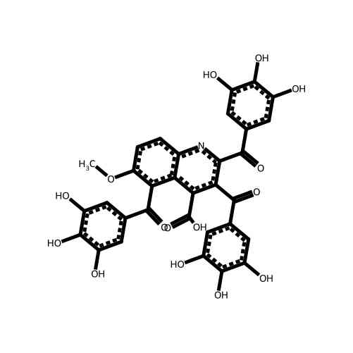 COc1ccc2nc(C(=O)c3cc(O)c(O)c(O)c3)c(C(=O)c3cc(O)c(O)c(O)c3)c(C(=O)O)c2c1C(=O)c1cc(O)c(O)c(O)c1